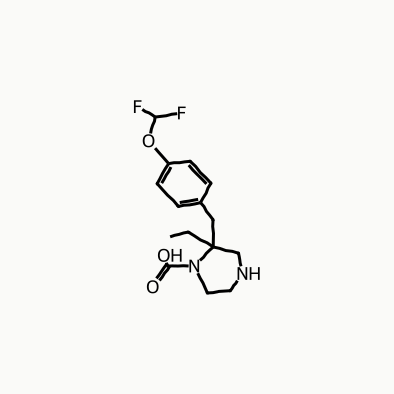 CCC1(Cc2ccc(OC(F)F)cc2)CNCCN1C(=O)O